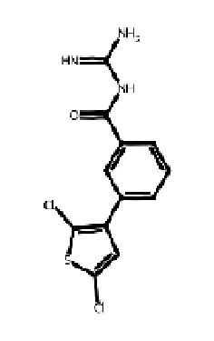 N=C(N)NC(=O)c1cccc(-c2cc(Cl)sc2Cl)c1